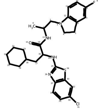 CC(CN1CCc2cc(F)ccc21)NC(=O)C(CC1CCCCC1)Nc1nc2ccc(Cl)cc2s1